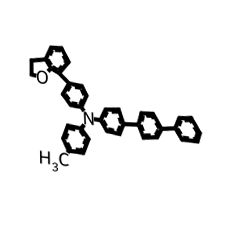 Cc1ccc(N(c2ccc(-c3ccc(-c4ccccc4)cc3)cc2)c2ccc(-c3cccc4c3OCC4)cc2)cc1